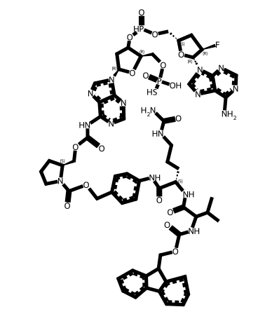 CC(C)C(NC(=O)OCC1c2ccccc2-c2ccccc21)C(=O)N[C@@H](CCCNC(N)=O)C(=O)Nc1ccc(COC(=O)N2CCC[C@H]2COC(=O)Nc2ncnc3c2ncn3[C@H]2CC(O[PH](=O)OC[C@@H]3C[C@@H](F)[C@H](n4cnc5c(N)ncnc54)O3)[C@@H](COP(=O)(O)S)O2)cc1